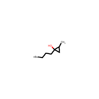 CCCCCCCC1(O)CC1C